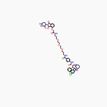 O=C(COc1cccc2c1C(=O)N(C1CCC(=O)NC1=O)C2=O)NCCCOCCOCCOCCCNC(=O)c1ccc(NC(=O)[C@@H]2NC3(CCCCC3)[C@@]3(C(=O)Nc4cc(Cl)ccc43)[C@H]2c2cccc(Cl)c2F)cc1